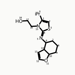 CC(C)c1cs/c(=N\C2CCCC3OC=CC23)n1CCO